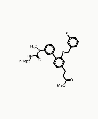 CCCCCCCNC(=O)N(C)c1cccc(-c2ccc(CCC(=O)OC)cc2OCc2cccc(F)c2)c1